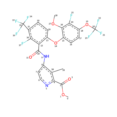 COC(=O)c1nccc(NC(=O)c2c(Oc3ccc(OC(F)(F)F)c(F)c3OC)ccc(C(F)(F)F)c2F)c1C